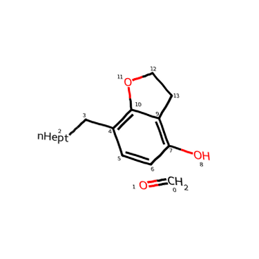 C=O.CCCCCCCCc1ccc(O)c2c1OCC2